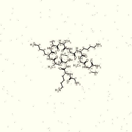 CC[C@H](C)[C@H](NC(=O)[C@H](CCCCN)NC(=O)CN)C(=O)N[C@@H](C)C(=O)N[C@@H](CCCCN)C(=O)N[C@H](C(=O)N[C@@H](C)C(=O)N[C@@H](CC(C)C)C(=O)N[C@@H](CCCCN)C(=O)N[C@@H](C)C(=O)N[C@@H](CC(C)C)C(N)=O)C(C)C